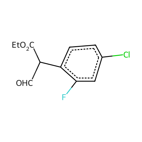 CCOC(=O)C(C=O)c1ccc(Cl)cc1F